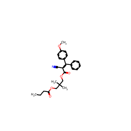 CCCC(=O)OCC(C)(C)COC(=O)/C(C#N)=C(\c1ccccc1)c1ccc(OC)cc1